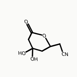 N#CCC1CC(O)(O)CC(=O)O1